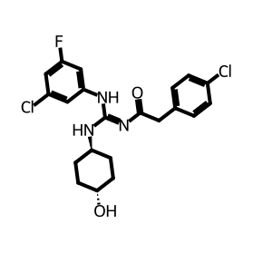 O=C(Cc1ccc(Cl)cc1)/N=C(\Nc1cc(F)cc(Cl)c1)N[C@H]1CC[C@H](O)CC1